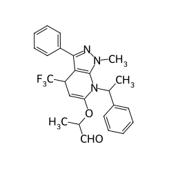 CC(C=O)OC1=CC(C(F)(F)F)c2c(-c3ccccc3)nn(C)c2N1C(C)c1ccccc1